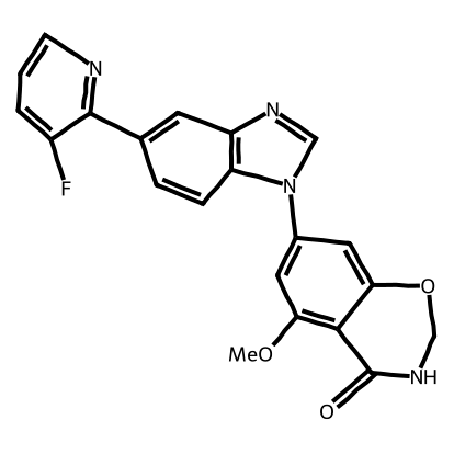 COc1cc(-n2cnc3cc(-c4ncccc4F)ccc32)cc2c1C(=O)NCO2